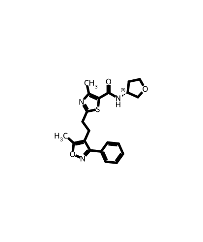 Cc1nc(CCc2c(-c3ccccc3)noc2C)sc1C(=O)N[C@@H]1CCOC1